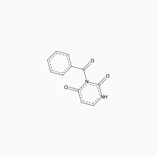 O=C(c1ccccc1)n1c(=O)cc[nH]c1=O